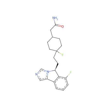 NC(=O)CC1CCC(F)(CC[C@H]2c3c(F)cccc3-c3cncn32)CC1